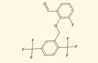 O=Cc1cccc(F)c1OCc1cc(C(F)(F)F)ccc1C(F)(F)F